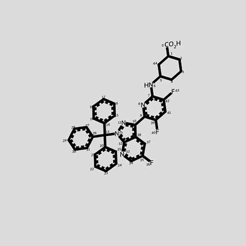 O=C(O)C1CCCC(Nc2nc(-c3nn(C(c4ccccc4)(c4ccccc4)c4ccccc4)c4ncc(F)cc34)c(F)cc2F)C1